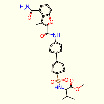 COC(=O)C(NS(=O)(=O)c1ccc(-c2ccc(NC(=O)c3oc4cccc(C(N)=O)c4c3C)cc2)cc1)C(C)C